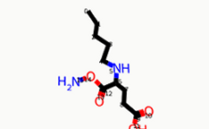 CCCCCNC(CCC(=O)O)C(=O)ON